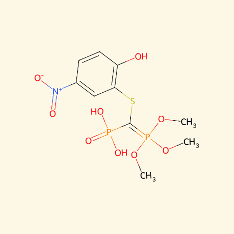 COP(OC)(OC)=C(Sc1cc([N+](=O)[O-])ccc1O)P(=O)(O)O